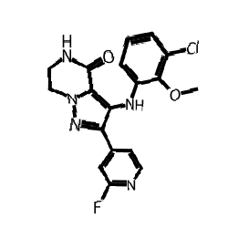 COc1c(Cl)cccc1Nc1c(-c2ccnc(F)c2)nn2c1C(=O)NCC2